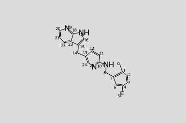 Cc1ccc(F)cc1CNc1ccc(Cc2c[nH]c3ncccc23)cn1